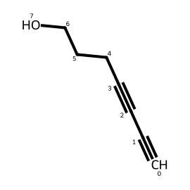 C#CC#CCCCO